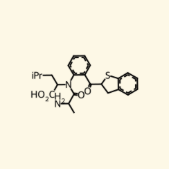 CC(C)CC(C(=O)O)N(C(=O)C(C)N)c1ccccc1C(=O)C1Cc2ccccc2S1